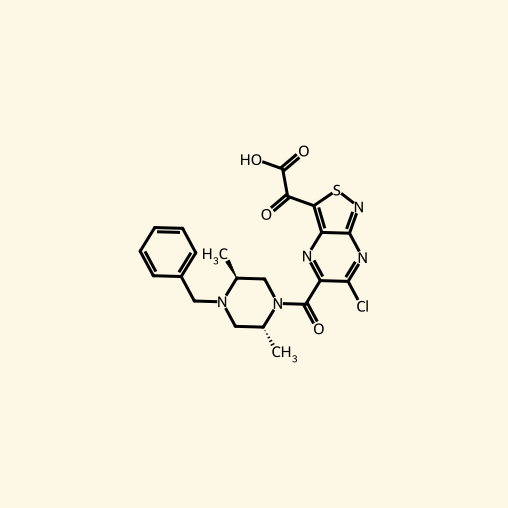 C[C@@H]1CN(Cc2ccccc2)[C@@H](C)CN1C(=O)c1nc2c(C(=O)C(=O)O)snc2nc1Cl